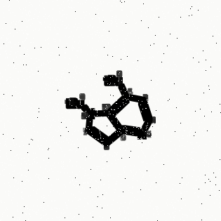 CC(C)(C)c1ccnc2ccn(C(C)(C)C)c12